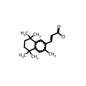 Cc1cc2c(cc1C=CC(=O)Cl)C(C)(C)CCC2(C)C